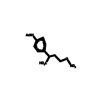 CC(=O)Nc1ccc(C(CCO[N+](=O)[O-])C(=O)O)cc1